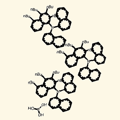 CCCCc1c(CCCC)c(CCCC)c2c(CCCC)cccc2c1N(c1cccc2ccccc12)c1cccc2ccccc12.CCCCc1c(CCCC)c(CCCC)c2c(CCCC)cccc2c1N(c1cccc2ccccc12)c1cccc2ccccc12.CCCCc1c(CCCC)c(CCCC)c2c(CCCC)cccc2c1N(c1cccc2ccccc12)c1cccc2ccccc12.OB(O)O